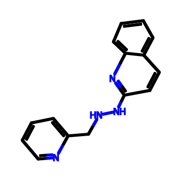 c1ccc(CNNc2ccc3ccccc3n2)nc1